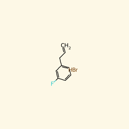 Br.C=CCc1cccc(F)c1